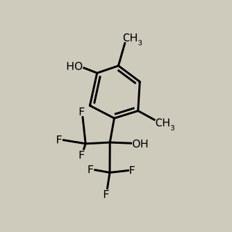 Cc1cc(C)c(C(O)(C(F)(F)F)C(F)(F)F)cc1O